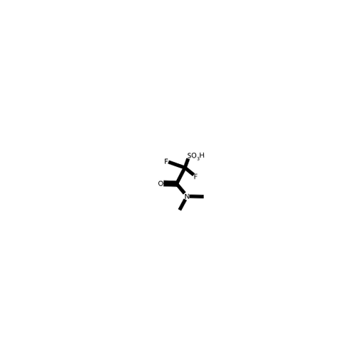 CN(C)C(=O)C(F)(F)S(=O)(=O)O